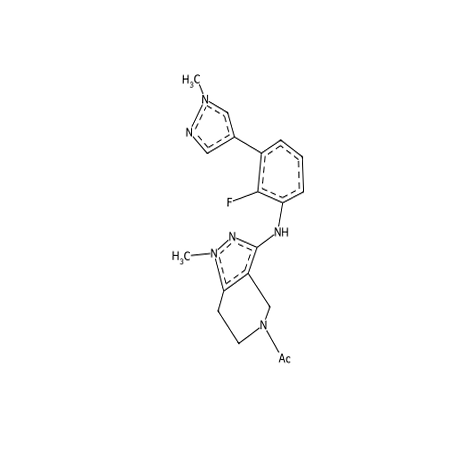 CC(=O)N1CCc2c(c(Nc3cccc(-c4cnn(C)c4)c3F)nn2C)C1